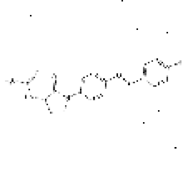 CC(=O)N[C@H]1CCN(c2ccc(OCc3ccc(F)cc3)cc2)C1=O